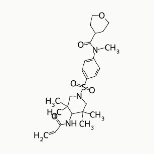 C=CC(=O)NC1C(C)(C)CN(S(=O)(=O)c2ccc(N(C)C(=O)C3CCOCC3)cc2)CC1(C)C